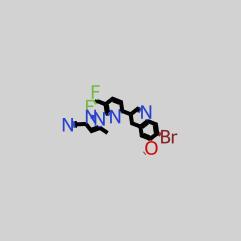 COc1cc2c(cc1Br)N=CC(c1ccc(C(F)F)c(-n3nc(C#N)cc3C)n1)C2